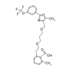 Cc1cccc(CCOCCCOCc2nc(-c3cccc(OC(F)(F)F)c3)oc2C)c1C(=O)O